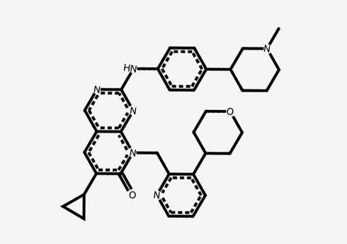 CN1CCCC(c2ccc(Nc3ncc4cc(C5CC5)c(=O)n(Cc5ncccc5C5CCOCC5)c4n3)cc2)C1